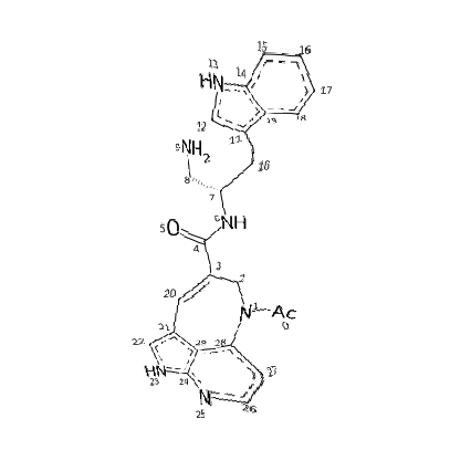 CC(=O)N1CC(C(=O)N[C@H](CN)Cc2c[nH]c3ccccc23)=Cc2c[nH]c3nccc1c23